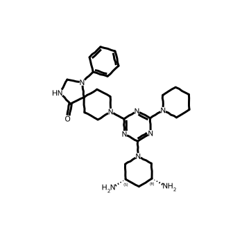 N[C@@H]1C[C@H](N)CN(c2nc(N3CCCCC3)nc(N3CCC4(CC3)C(=O)NCN4c3ccccc3)n2)C1